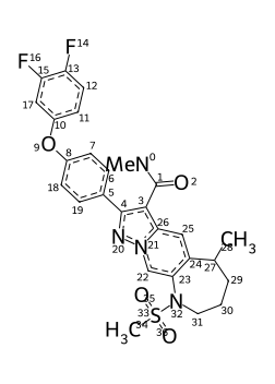 CNC(=O)c1c(-c2ccc(Oc3ccc(F)c(F)c3)cc2)nn2cc3c(cc12)C(C)CCCN3S(C)(=O)=O